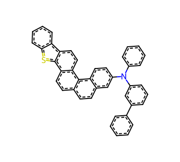 c1ccc(-c2cccc(N(c3ccccc3)c3ccc4c(ccc5ccc6c(ccc7c8ccccc8sc76)c54)c3)c2)cc1